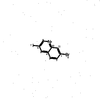 Brc1ccc2cc(I)cnc2c1